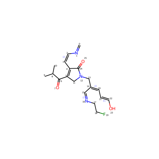 C=N/C=C\C1=C(C(=O)C(C)C)CN(CC(/C=N\CCF)=C/C=C/O)C1=O